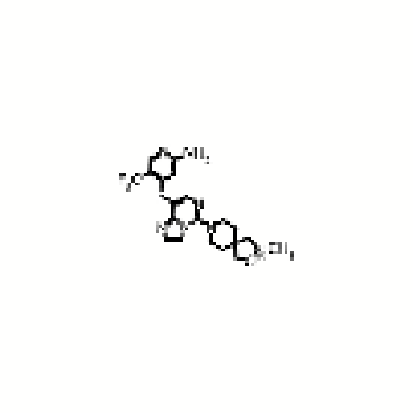 C[C@H]1CC2(CCN(c3ncc(Sc4cc(N)ncc4C(F)(F)F)c4nccn34)CC2)CO1